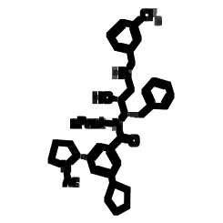 CCCCCN(C(=O)c1cc(C2CCCC2)cc([C@H]2CCCN2C(C)=O)c1)[C@@H](Cc1ccccc1)[C@H](O)CNCc1cccc(C(F)(F)F)c1